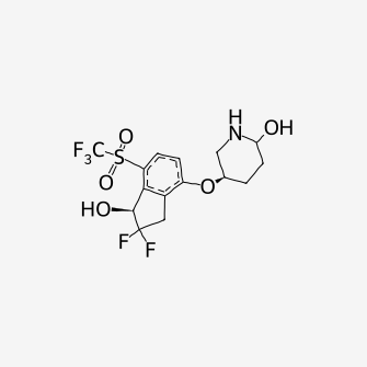 O=S(=O)(c1ccc(O[C@@H]2CCC(O)NC2)c2c1[C@H](O)C(F)(F)C2)C(F)(F)F